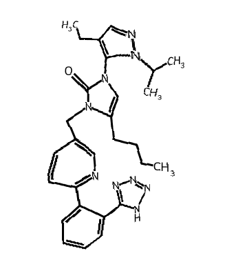 CCCCc1cn(-c2c(CC)cnn2C(C)C)c(=O)n1Cc1ccc(-c2ccccc2-c2nnn[nH]2)nc1